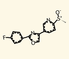 C[S@@+]([O-])c1ccc(-c2coc(-c3ccc(F)cc3)n2)cn1